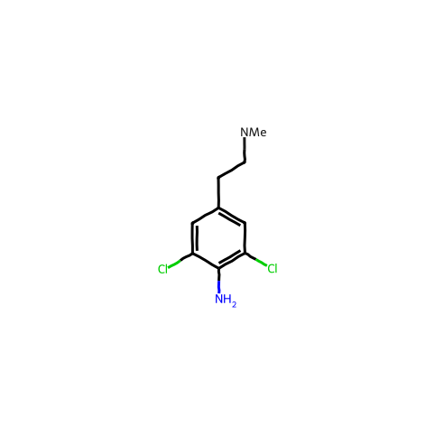 CNCCc1cc(Cl)c(N)c(Cl)c1